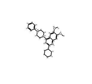 COc1cc2nc(C3CCCCC3)nc(N3CCN(c4ccccc4)CC3)c2cc1OC